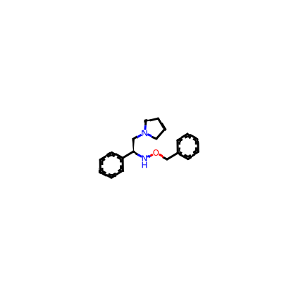 c1ccc(CON[C@H](CN2CCCC2)c2ccccc2)cc1